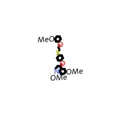 COc1cccc(OCCSc2ccc(Oc3ccnc4cc(OC)c(OC)cc34)cc2)c1